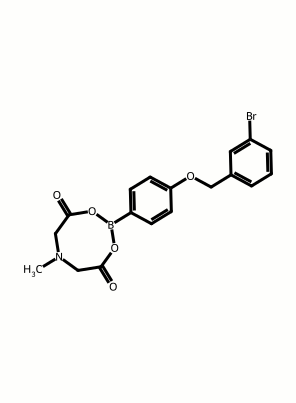 CN1CC(=O)OB(c2ccc(OCc3cccc(Br)c3)cc2)OC(=O)C1